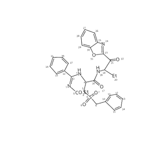 CCOC(=O)/N=C(\NC(CS(=O)(=O)Cc1ccccc1)C(=O)NC(CC)C(=O)c1nc2ccccc2o1)c1ccccc1